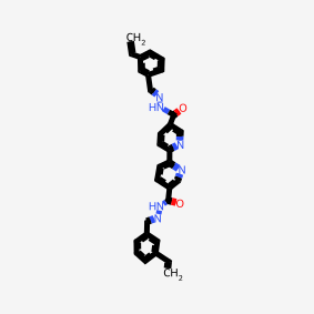 C=Cc1cccc(/C=N/NC(=O)c2ccc(-c3ccc(C(=O)N/N=C/c4cccc(C=C)c4)cn3)nc2)c1